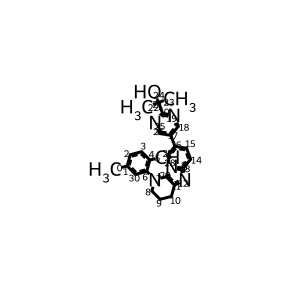 Cc1ccc(C)c(N2CCCc3nc4ccc(-c5cnc(C(C)(C)O)nc5)cn4c32)c1